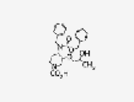 CC(O)COC1CN(C(=O)O)CCC1N(Cc1ccccc1)C(=O)OCc1ccccc1